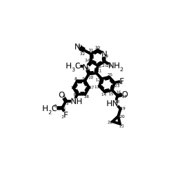 C=C(F)C(=O)Nc1ccc(-c2c(-c3ccc(C(=O)NCC4CC4)c(F)c3)c3c(N)ncc(C#N)c3n2C)cc1